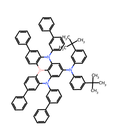 CC(C)(C)c1cccc(N(c2cccc(C(C)(C)C)c2)c2cc3c4c(c2)N(c2cccc(-c5ccccc5)c2)c2cc(-c5ccccc5)ccc2B4c2ccc(-c4ccccc4)cc2N3c2cccc(-c3ccccc3)c2)c1